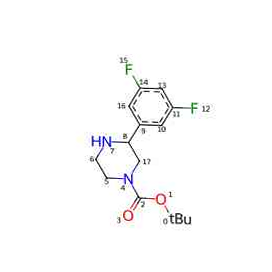 CC(C)(C)OC(=O)N1CCNC(c2cc(F)cc(F)c2)C1